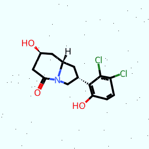 O=C1C[C@@H](O)C[C@@H]2C[C@H](c3c(O)ccc(Cl)c3Cl)CN12